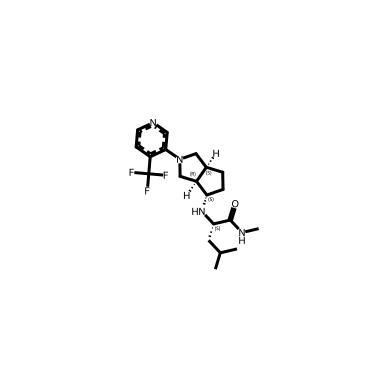 CNC(=O)[C@H](CC(C)C)N[C@H]1CC[C@@H]2CN(c3cnccc3C(F)(F)F)C[C@@H]21